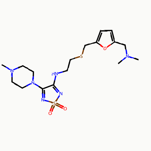 CN(C)Cc1ccc(CSCCNC2=NS(=O)(=O)N=C2N2CCN(C)CC2)o1